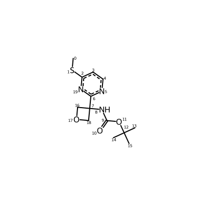 CSc1ccnc(C2(NC(=O)OC(C)(C)C)COC2)n1